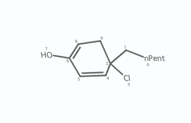 CCCCCCC1(Cl)C=CC(O)=CC1